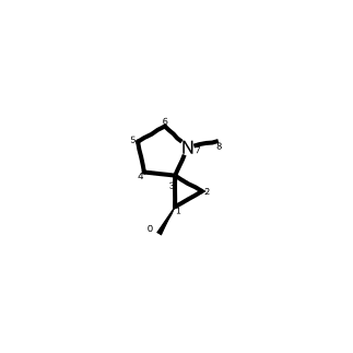 C[C@@H]1CC12CCCN2C